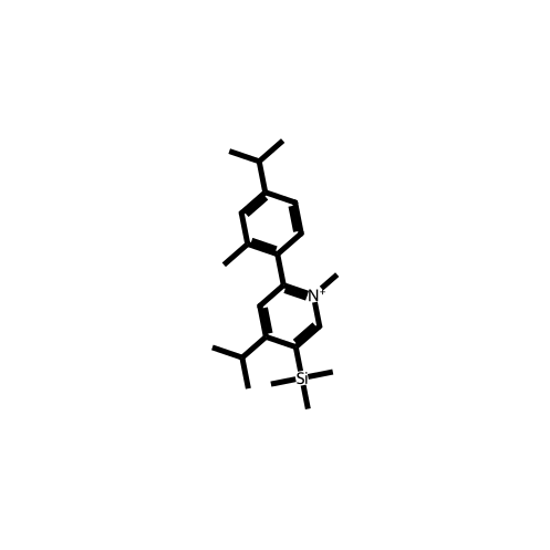 Cc1cc(C(C)C)ccc1-c1cc(C(C)C)c([Si](C)(C)C)c[n+]1C